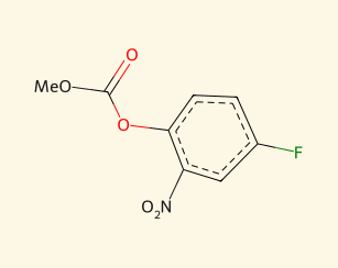 COC(=O)Oc1ccc(F)cc1[N+](=O)[O-]